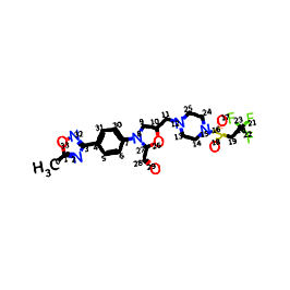 Cc1nc(-c2ccc(N3CC(CN4CCN(S(=O)(=O)CC(F)(F)F)CC4)OC3C=O)cc2)no1